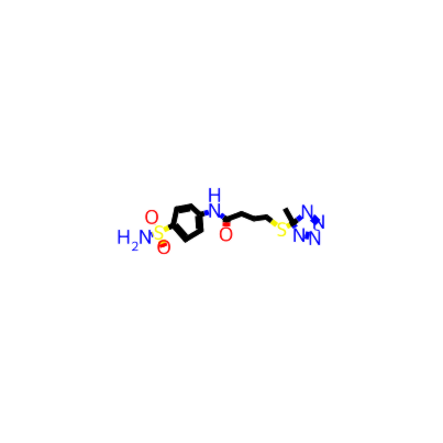 CC1(SCCCC(=O)Nc2ccc(S(N)(=O)=O)cc2)N=NN=N1